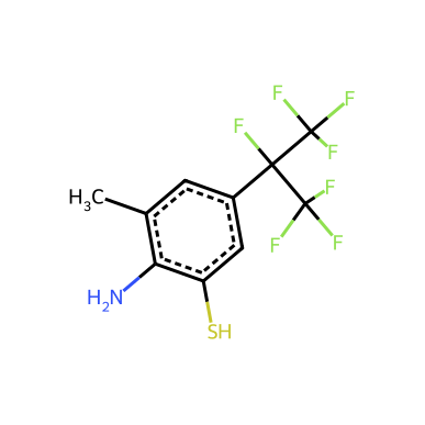 Cc1cc(C(F)(C(F)(F)F)C(F)(F)F)cc(S)c1N